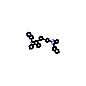 c1cc(-c2ccc(-c3nc(-c4ccc5ccccc5c4)c4ccccc4n3)cc2)cc(-c2cc3c(-c4ccc5ccccc5c4)nc4ccccc4c3c3ccccc23)c1